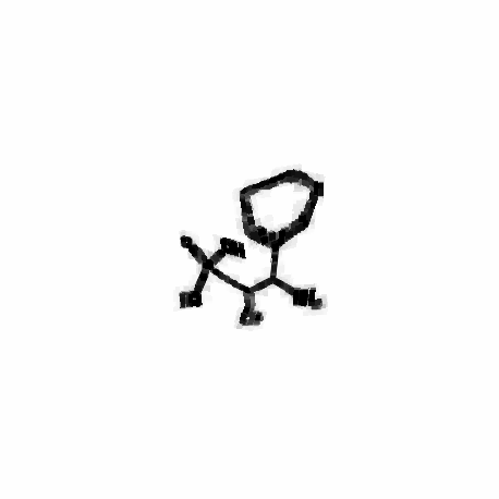 [CH]=C(C(N)c1cccnc1)P(=O)(O)O